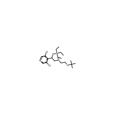 CC[Si](CC)(CC)OC(CNCCOC(C)(C)C)c1c(Cl)cncc1Cl